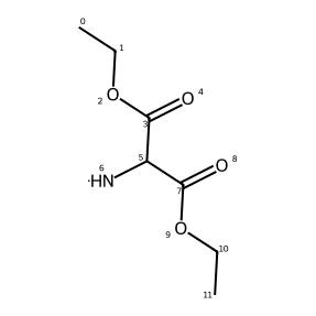 CCOC(=O)C([NH])C(=O)OCC